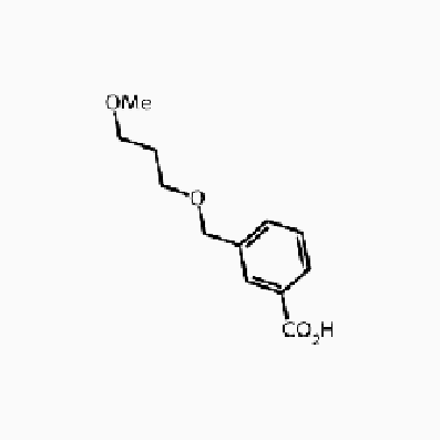 COCCCOCc1cccc(C(=O)O)c1